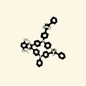 Cc1ccc(C)c2nc(-c3ccc(N(c4ccccc4)c4ccc(-c5nnc(-c6ccccc6)o5)cc4)cc3)c(-c3ccc(N(c4ccccc4)c4ccc(-c5nnc(-c6ccccc6)o5)cc4)cc3)nc12